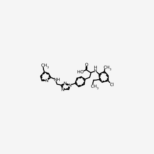 CCc1cc(Cl)cc(C)c1NC(Cc1ccc(-n2cnc(CNc3cc(C)ccn3)n2)cc1)C(=O)O